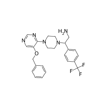 NCC(c1ccc(C(F)(F)F)cc1)N1CCN(c2ncncc2OCc2ccccc2)CC1